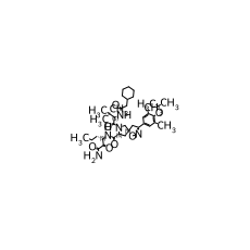 CCC[C@H](NC(=O)[C@@H]1C[C@]2(CC(c3cc(C)c(OC(C)C)c(C)c3)=NO2)CN1C(=O)[C@@H](NC(=O)CC1CCCCC1)C(C)(C)C)C(=O)C(N)=O